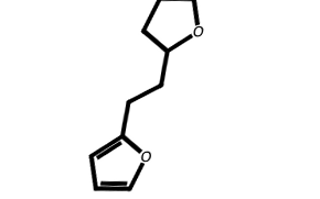 c1coc(CCC2CCCO2)c1